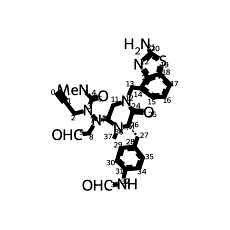 C#CCN(C(=O)NC)N(CC=O)[C@H]1CN(Cc2cccc3sc(N)nc23)C(=O)[C@H](Cc2ccc(NC=O)cc2)N1C